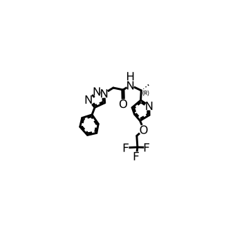 C[C@@H](NC(=O)Cn1cc(-c2ccccc2)nn1)c1ccc(OCC(F)(F)F)cn1